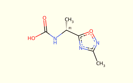 Cc1noc([C@@H](C)NC(=O)O)n1